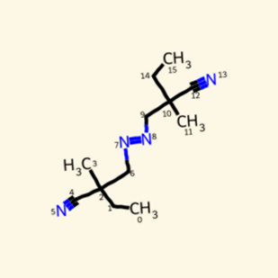 CCC(C)(C#N)CN=NCC(C)(C#N)CC